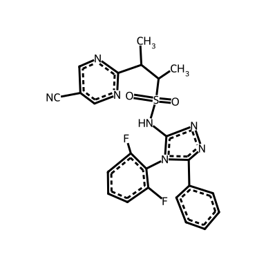 CC(c1ncc(C#N)cn1)C(C)S(=O)(=O)Nc1nnc(-c2ccccc2)n1-c1c(F)cccc1F